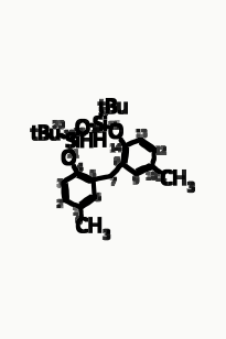 Cc1ccc2c(c1)Cc1cc(C)ccc1O[SiH](C(C)(C)C)O[SiH](C(C)(C)C)O2